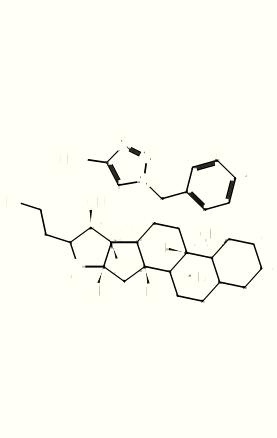 CC(C)CCC1O[C@H]2C[C@H]3[C@@H]4CCC5CCCC[C@]5(C)[C@H]4CC[C@]3(C)[C@H]2[C@@H]1C.Cc1cn(Cc2ccccc2)nn1